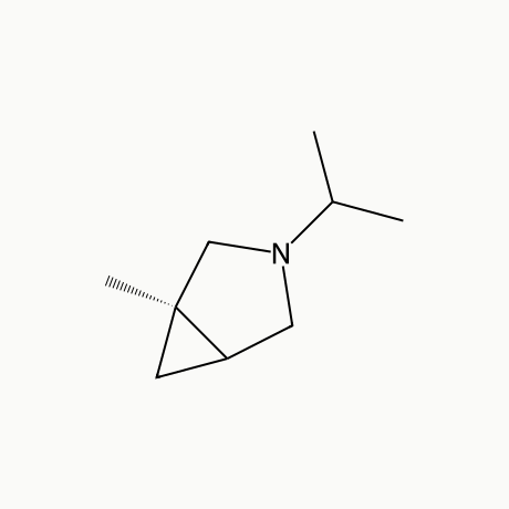 CC(C)N1CC2C[C@@]2(C)C1